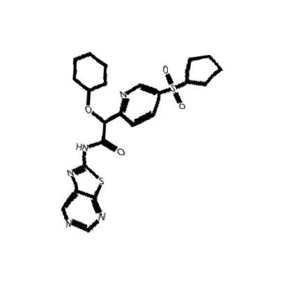 O=C(Nc1nc2cncnc2s1)C(OC1CCCCC1)c1ccc(S(=O)(=O)C2CCCC2)cn1